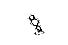 C#CCC1(CC=C)COc2cscc2OC1